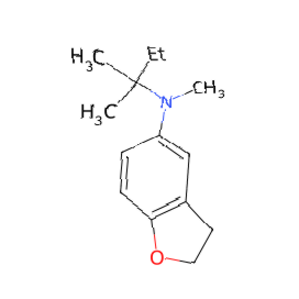 CCC(C)(C)N(C)c1ccc2c(c1)CCO2